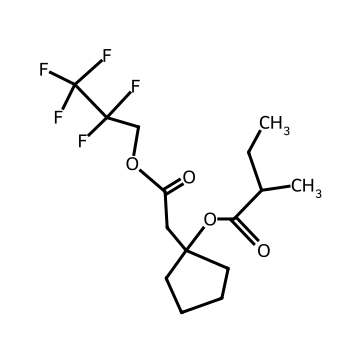 CCC(C)C(=O)OC1(CC(=O)OCC(F)(F)C(F)(F)F)CCCC1